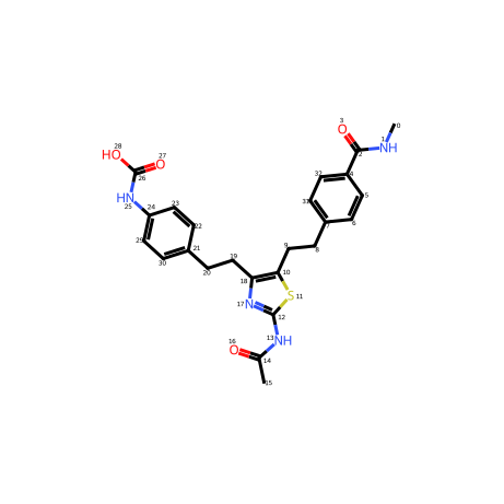 CNC(=O)c1ccc(CCc2sc(NC(C)=O)nc2CCc2ccc(NC(=O)O)cc2)cc1